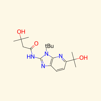 CC(C)(O)CC(=O)Nc1nc2ccc(C(C)(C)O)nc2n1C(C)(C)C